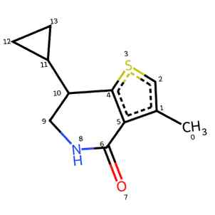 Cc1csc2c1C(=O)NCC2C1CC1